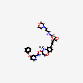 CN1C(=O)[C@@H](NC(=O)c2cc(Oc3ccccc3)ccn2)COc2ccc(C#CC3(OC(=O)NCCCN4CCOCC4)COC3)cc21